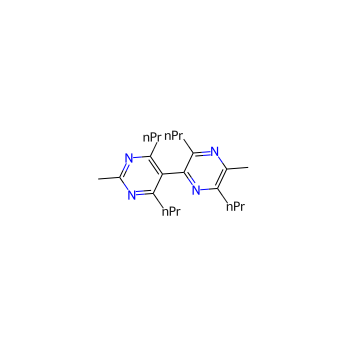 CCCc1nc(-c2c(CCC)nc(C)nc2CCC)c(CCC)nc1C